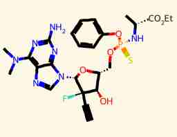 C#C[C@@]1(F)[C@H](O)[C@@H](CO[P@@](=S)(N[C@H](C)C(=O)OCC)Oc2ccccc2)O[C@H]1n1cnc2c(N(C)C)nc(N)nc21